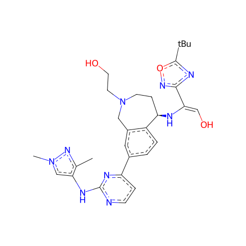 Cc1nn(C)cc1Nc1nccc(-c2ccc3c(c2)CN(CCO)CC[C@H]3N/C(=C\O)c2noc(C(C)(C)C)n2)n1